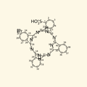 O=S(=O)(O)c1cccc2c3nc4nc(nc5[nH]c(nc6nc(nc([nH]3)c12)-c1ccccc1-6)c1ccccc51)-c1ccccc1-4.[Rh]